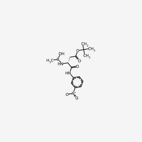 CB(O)N[C@H](CC(=O)OC(C)(C)C)C(=O)Nc1cccc([N+](=O)[O-])c1